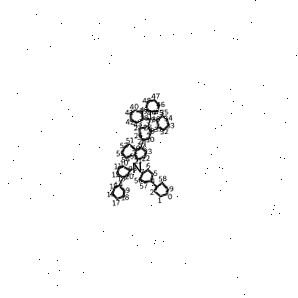 c1ccc(-c2ccc(N(c3cccc(-c4ccccc4)c3)c3ccc(-c4ccc5c(c4)-c4ccccc4C5(c4ccccc4)c4ccccc4)c4ccccc34)cc2)cc1